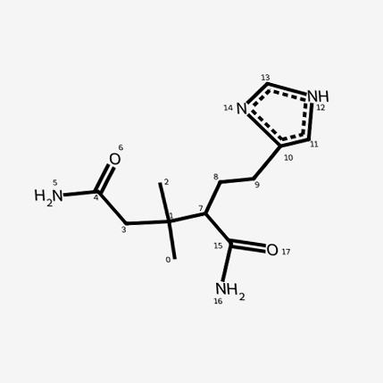 CC(C)(CC(N)=O)C(CCc1c[nH]cn1)C(N)=O